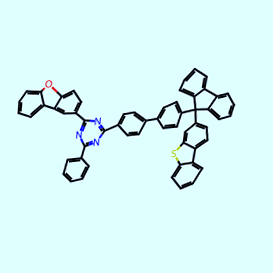 c1ccc(-c2nc(-c3ccc(-c4ccc(C5(c6ccc7c(c6)sc6ccccc67)c6ccccc6-c6ccccc65)cc4)cc3)nc(-c3ccc4oc5ccccc5c4c3)n2)cc1